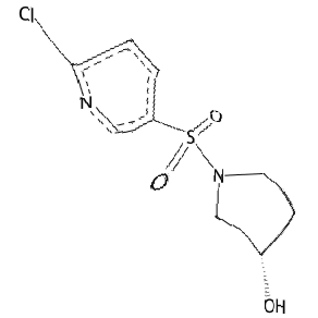 O=S(=O)(c1ccc(Cl)nc1)N1CC[C@H](O)C1